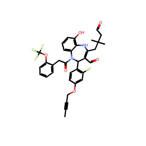 CC#CCOc1ccc(C2C(C=O)=C(CC(C)(C)CC=O)Nc3c(O)cccc3N2C(=O)Cc2ccccc2OC(F)(F)F)c(F)c1